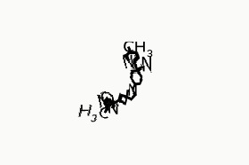 Cc1ccc(C2(C#N)CCC(N3CCC4(CC(c5nc(C)no5)C4)C3)CC2)nc1